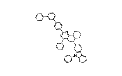 c1ccc(-n2c3c(c4ccccc42)C=CC(c2cc4c(-c5ccccc5)nc(-c5ccc(-c6cccc(-c7ccccc7)c6)cc5)nc4c4c2CCCC4)C3)cc#1